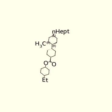 CCCCCCC[C@H]1CC[C@@H]([C@H]2CC[C@H](C(=O)OC3CCC(CC)CC3)CC2)[C@H](C)C1